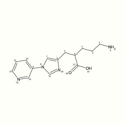 NCCCC(Cc1cn(-c2cccnc2)cn1)C(=O)O